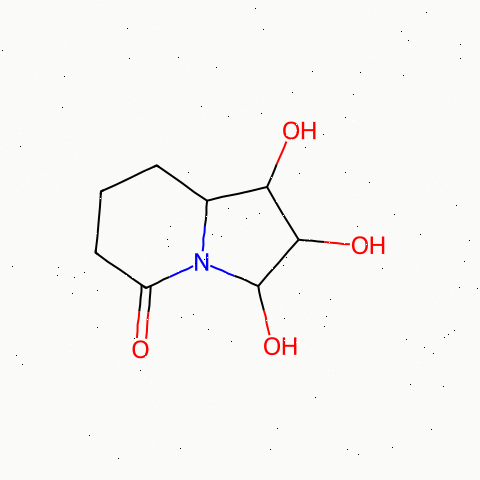 O=C1CCCC2C(O)C(O)C(O)N12